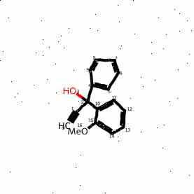 C#CC(O)(c1ccccc1)c1ccccc1OC